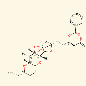 C=C(Br)C[C@@H](CC[C@@]12CC3O[C@H]4[C@@H](O1)[C@H]1O[C@@H](CC=O)CCC1O[C@H]4C3O2)OC(=O)c1ccccc1